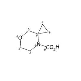 O=C(O)N1CCOCC12CC2